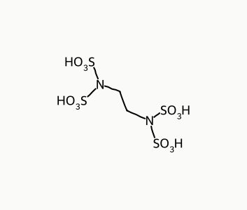 O=S(=O)(O)N(CCN(S(=O)(=O)O)S(=O)(=O)O)S(=O)(=O)O